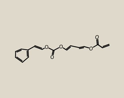 C=CC(=O)OC=CC=COC(=O)OC=Cc1ccccc1